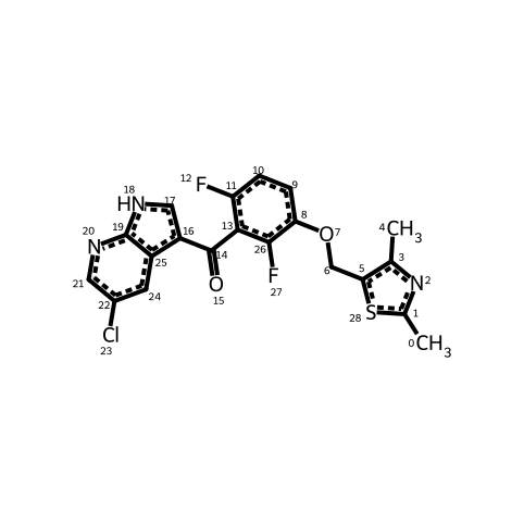 Cc1nc(C)c(COc2ccc(F)c(C(=O)c3c[nH]c4ncc(Cl)cc34)c2F)s1